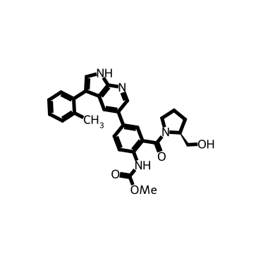 COC(=O)Nc1ccc(-c2cnc3[nH]cc(-c4ccccc4C)c3c2)cc1C(=O)N1CCC[C@H]1CO